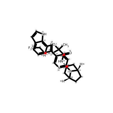 CC(C)(Oc1cccc2cc[nH]c12)C(=O)N[C@H]1C[C@H]2CC[C@@H](C1)N2c1ccc(C(=O)NCC(F)(F)F)cn1